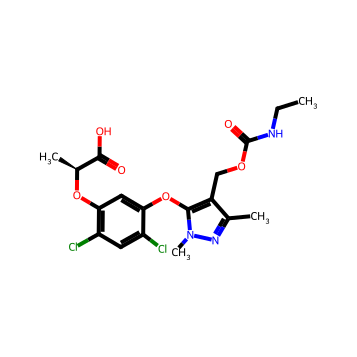 CCNC(=O)OCc1c(C)nn(C)c1Oc1cc(O[C@@H](C)C(=O)O)c(Cl)cc1Cl